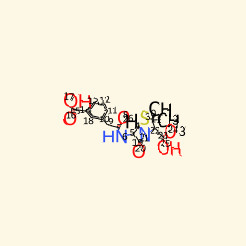 CC1(C)S[C@H]2[C@H](NC(=O)Cc3cccc(C(=O)O)c3)C(=O)N2C1C(=O)O